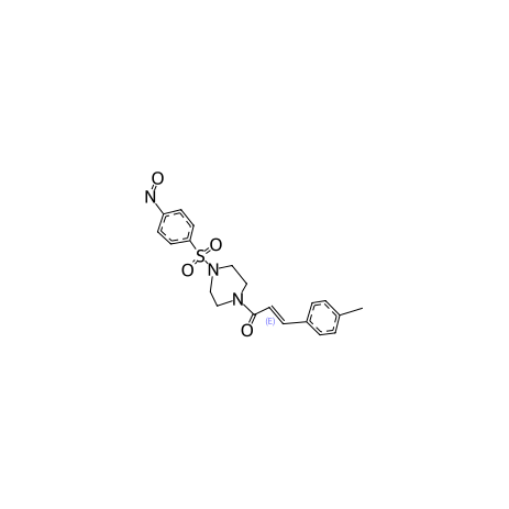 Cc1ccc(/C=C/C(=O)N2CCN(S(=O)(=O)c3ccc(N=O)cc3)CC2)cc1